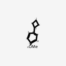 COc1ccc(C2[CH]CC2)cc1